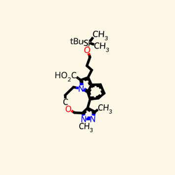 Cc1nn(C)c2c1-c1cccc3c(CCCO[Si](C)(C)C(C)(C)C)c(C(=O)O)n(c13)CCCOC2